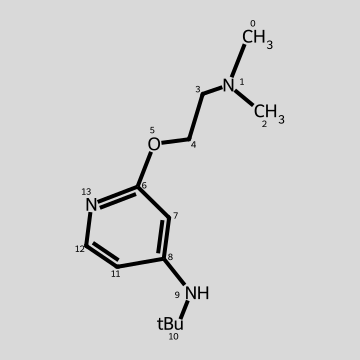 CN(C)CCOc1cc(NC(C)(C)C)ccn1